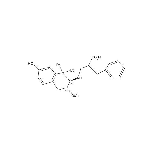 CCC1(CC)c2cc(O)ccc2C[C@@H](OC)[C@@H]1NCC(Cc1ccccc1)C(=O)O